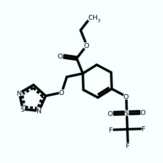 CCOC(=O)C1(COc2cnsn2)CC=C(OS(=O)(=O)C(F)(F)F)CC1